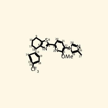 COc1nc(-c2nc3c(s2)CCC[C@H]3c2ccc(C(F)(F)F)cc2)ccc1-n1cnc(C)c1